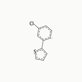 Clc1cc[c]c(-c2cccs2)c1